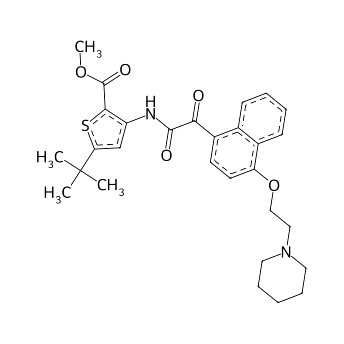 COC(=O)c1sc(C(C)(C)C)cc1NC(=O)C(=O)c1ccc(OCCN2CCCCC2)c2ccccc12